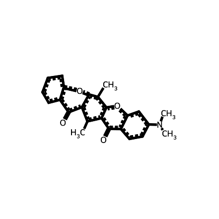 Cc1c2oc3ccccc3c(=O)c2c(C)c2c(=O)c3ccc(N(C)C)cc3oc12